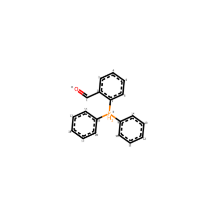 O=Cc1ccccc1[PH2](c1ccccc1)c1ccccc1